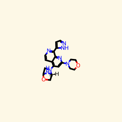 c1cc(-c2nccc3c(N4CC5N[C@H]4CO5)cc(N4CCOCC4)nc23)[nH]n1